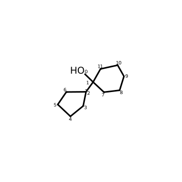 OC1([C]2CCCC2)CCCCC1